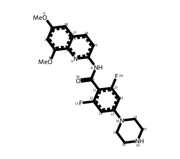 COc1cc(OC)c2nc(NC(=O)c3c(F)cc(N4CCNCC4)cc3F)ccc2c1